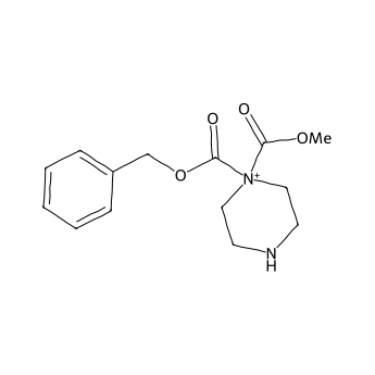 COC(=O)[N+]1(C(=O)OCc2ccccc2)CCNCC1